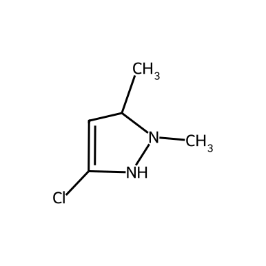 CC1C=C(Cl)NN1C